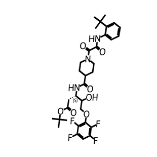 CC(C)(C)OC(=O)C[C@H](NC(=O)C1CCN(C(=O)C(=O)Nc2ccccc2C(C)(C)C)CC1)C(O)COc1c(F)c(F)cc(F)c1F